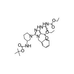 CCOC(=O)NC(=S)Nc1nc(N2CCCC(NC(=O)OC(C)(C)C)C2)n(Cc2ccccc2)c1C(=O)OCC